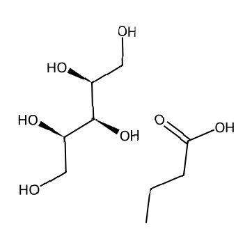 CCCC(=O)O.OC[C@@H](O)[C@H](O)[C@@H](O)CO